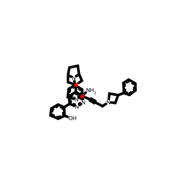 Nc1nnc(-c2ccccc2O)cc1N1CC2CCC(C1)N2c1ccnc(C#CCN2CC(c3ccccc3)C2)c1